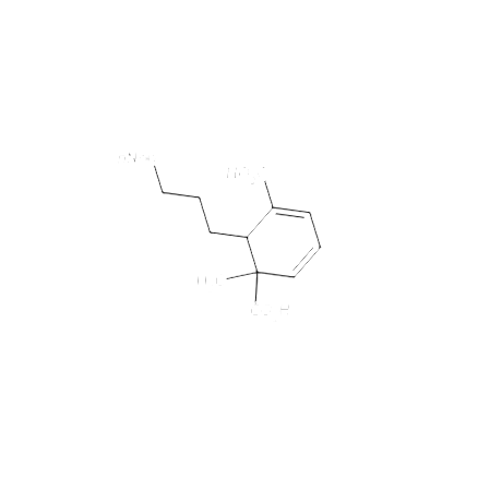 CCCCCCCCCCCCC1C(C(=O)O)=CC=CC1(C)C(=O)O